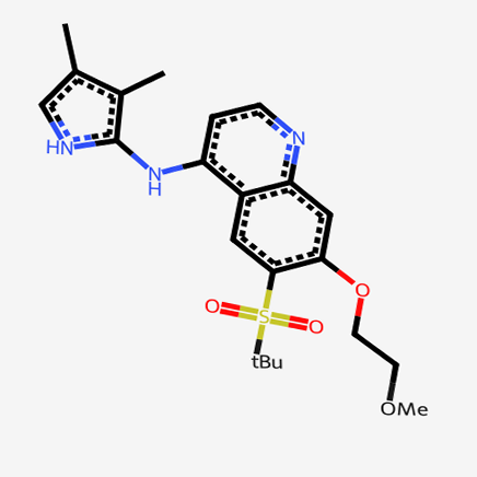 COCCOc1cc2nccc(Nc3[nH]cc(C)c3C)c2cc1S(=O)(=O)C(C)(C)C